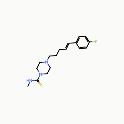 CNC(=S)N1CCN(CCCC=Cc2ccc(F)cc2)CC1